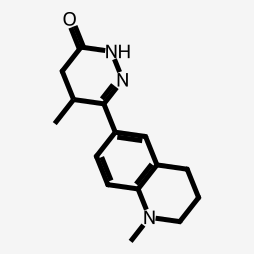 CC1CC(=O)NN=C1c1ccc2c(c1)CCCN2C